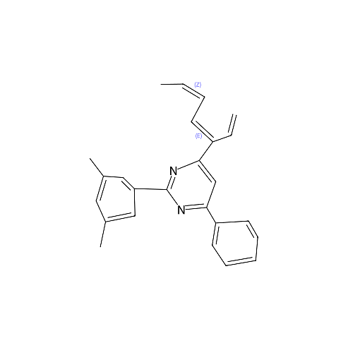 C=C/C(=C\C=C/C)c1cc(-c2ccccc2)nc(-c2cc(C)cc(C)c2)n1